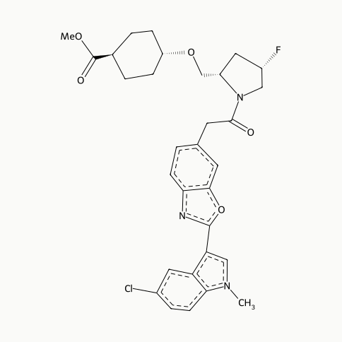 COC(=O)[C@H]1CC[C@H](OC[C@@H]2C[C@H](F)CN2C(=O)Cc2ccc3nc(-c4cn(C)c5ccc(Cl)cc45)oc3c2)CC1